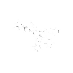 N#C[C@]1(COCc2ccccc2)O[C@@H](n2cc(F)c(NC(=O)c3ccccc3)nc2=O)[C@H](OC(=S)Oc2ccccc2)[C@@H]1OCc1ccccc1